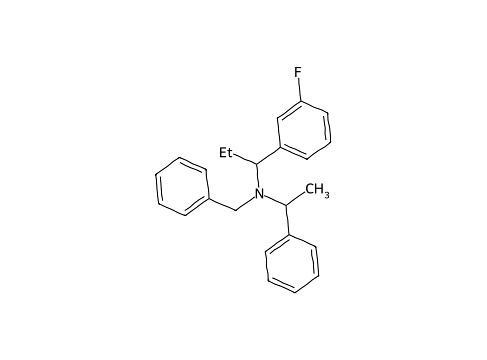 CCC(c1cccc(F)c1)N(Cc1ccccc1)C(C)c1ccccc1